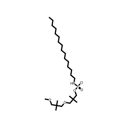 CCCCCCCCCCCCCCCCNP(=O)(Cl)OCC(C)(C)COCC(C)(C)COC